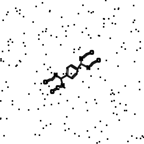 O=C=NC(N=C=O)c1ccc(C(N=C=O)N=C=O)cc1